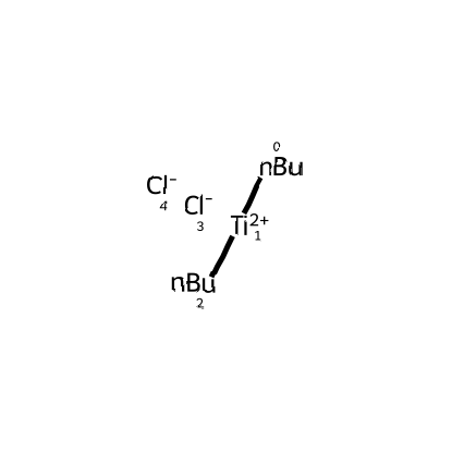 CCC[CH2][Ti+2][CH2]CCC.[Cl-].[Cl-]